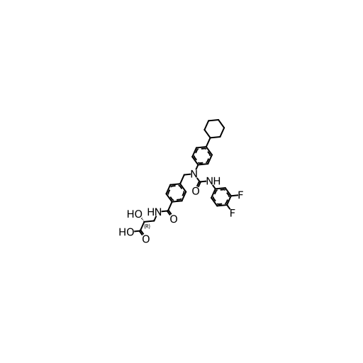 O=C(NC[C@@H](O)C(=O)O)c1ccc(CN(C(=O)Nc2ccc(F)c(F)c2)c2ccc(C3CCCCC3)cc2)cc1